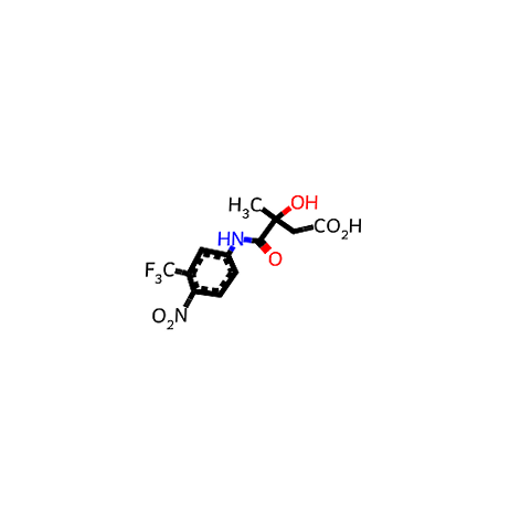 CC(O)(CC(=O)O)C(=O)Nc1ccc([N+](=O)[O-])c(C(F)(F)F)c1